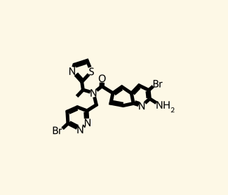 CC(c1nccs1)N(Cc1ccc(Br)nn1)C(=O)c1ccc2nc(N)c(Br)cc2c1